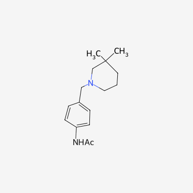 CC(=O)Nc1ccc(CN2CCCC(C)(C)C2)cc1